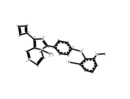 COc1cccc(F)c1Oc1ccc(C2=NC(C3=CC=C3)=C3C=NC=C[N+]23N)cc1